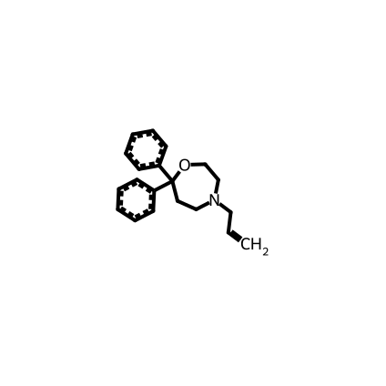 C=CCN1CCOC(c2ccccc2)(c2ccccc2)CC1